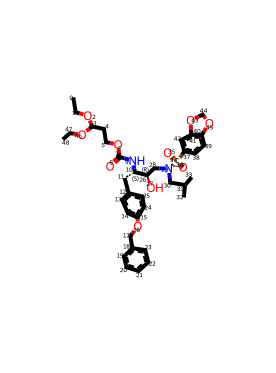 CCOC(CCOC(=O)N[C@@H](Cc1ccc(OCc2ccccc2)cc1)[C@H](O)CN(CC(C)C)S(=O)(=O)c1ccc2c(c1)OCO2)OCC